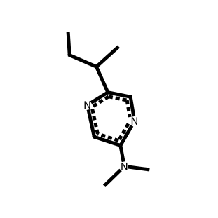 CCC(C)c1cnc(N(C)C)cn1